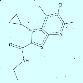 CCNC(=O)c1sc2nc(C)c(Cl)c(C)c2c1C1CC1